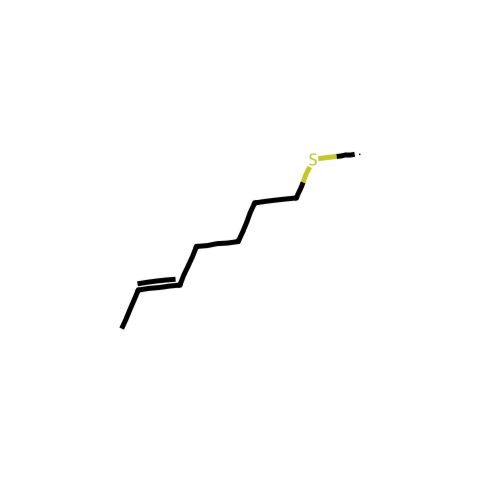 [CH2]SCCCC/C=C/C